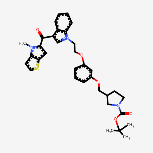 Cn1c(C(=O)c2cn(CCOc3cccc(OCC4CCN(C(=O)OC(C)(C)C)C4)c3)c3ccccc23)cc2sccc21